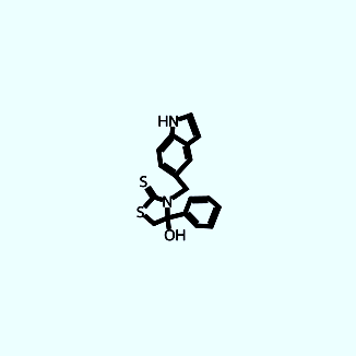 OC1(c2ccccc2)CSC(=S)N1Cc1ccc2[nH]ccc2c1